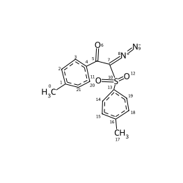 Cc1ccc(C(=O)C(=[N+]=[N-])S(=O)(=O)c2ccc(C)cc2)cc1